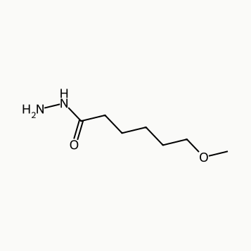 COCCCCCC(=O)NN